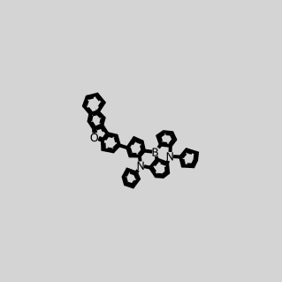 c1ccc(N2c3ccccc3B3c4ccc(-c5ccc6oc7cc8ccccc8cc7c6c5)cc4N(c4ccccc4)c4cccc2c43)cc1